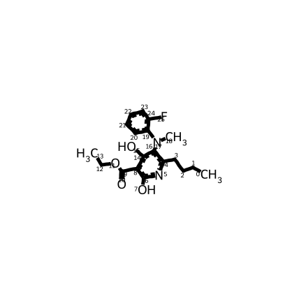 CCCCc1nc(O)c(C(=O)OCC)c(O)c1N(C)c1ccccc1F